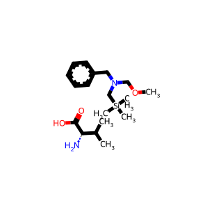 CC(C)[C@H](N)C(=O)O.COCN(Cc1ccccc1)C[Si](C)(C)C